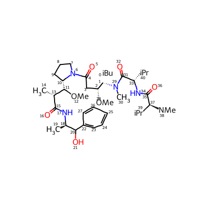 CC[C@H](C)[C@@H]([C@@H](CC(=O)N1CCC[C@H]1C(OC)[C@@H](C)C(=O)N[C@H](C)C(O)c1ccccc1)OC)N(C)C(=O)[C@@H](NC(=O)[C@@H](NC)C(C)C)C(C)C